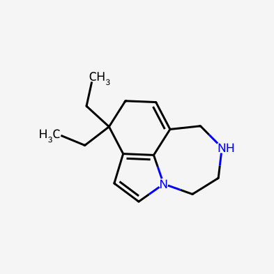 CCC1(CC)CC=C2CNCCn3ccc1c32